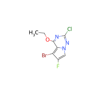 CCOc1nc(Cl)nn2cc(F)c(Br)c12